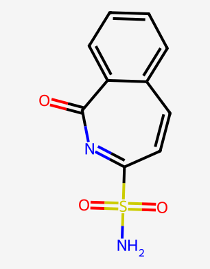 NS(=O)(=O)c1ccc2ccccc2c(=O)n1